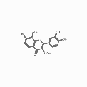 COc1c(-c2ccc(O)c(O)c2)oc2c(OC)c(O)ccc2c1=O